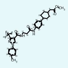 COC(=O)CC1CCC(c2ccc(NC(=O)CCNC(=O)c3cn(-c4ccc(C)cc4)nc3C(F)(F)F)cc2)CC1